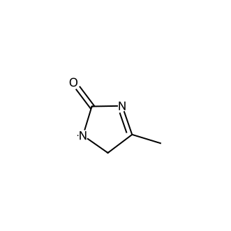 CC1=NC(=O)[N]C1